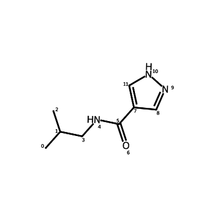 CC(C)CNC(=O)c1cn[nH]c1